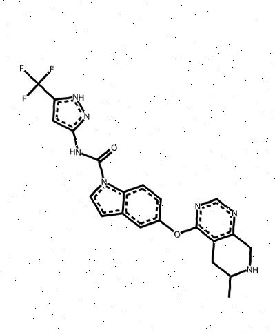 CC1Cc2c(ncnc2Oc2ccc3c(ccn3C(=O)Nc3cc(C(F)(F)F)[nH]n3)c2)CN1